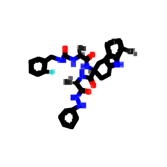 CCC(C)[C@H](NC(=O)NCc1ccccc1F)C(=O)N[C@]1(C(=O)NC(C(=O)NNc2ccccc2)[C@@H](C)CC)CCc2[nH]c3c(C(F)(F)F)cccc3c2C1